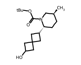 C[C@H]1CC[C@H](C2CC3(CC(O)C3)C2)N(C(=O)OC(C)(C)C)C1